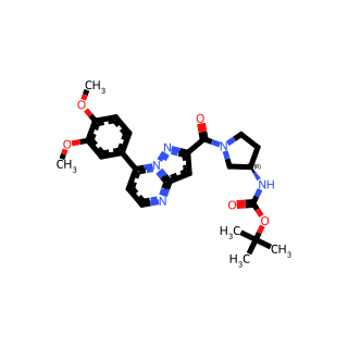 COc1ccc(-c2ccnc3cc(C(=O)N4CC[C@@H](NC(=O)OC(C)(C)C)C4)nn23)cc1OC